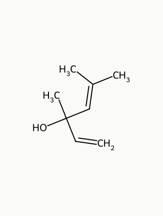 C=CC(C)(O)C=C(C)C